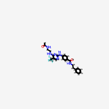 CC(=O)NCCNc1nc(Nc2ccc(C(=O)NCCc3ccccc3)cc2)ncc1C(F)(F)F